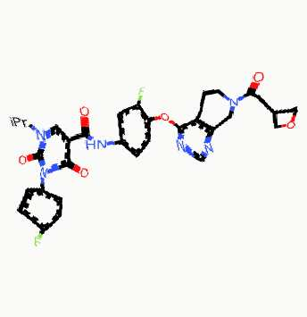 CC(C)n1cc(C(=O)Nc2ccc(Oc3ncnc4c3CCN(C(=O)C3COC3)C4)c(F)c2)c(=O)n(-c2ccc(F)cc2)c1=O